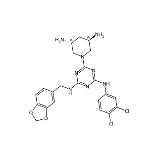 N[C@@H]1C[C@@H](N)CN(c2nc(NCc3ccc4c(c3)OCO4)nc(Nc3ccc(Cl)c(Cl)c3)n2)C1